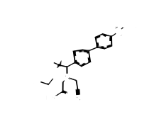 CCC[C@@H](C(N)=O)N(CC#N)C(c1ccc(-c2ccc(S(C)(=O)=O)cc2)cc1)C(F)(F)F